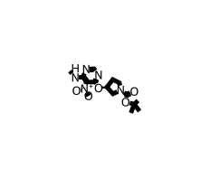 CNc1ncnc(O[C@H]2CCN(C(=O)OC(C)(C)C)C2)c1[N+](=O)[O-]